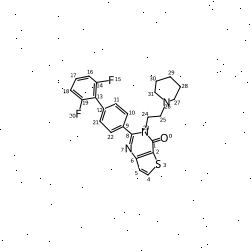 O=c1c2sccc2nc(-c2ccc(-c3c(F)cccc3F)cc2)n1CCN1CCCCC1